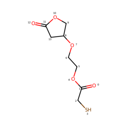 O=C(CS)OCCOC1COC(=O)C1